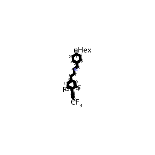 CCCCCCC1CCC(/C=C/CCc2cc(F)c(C#CC(F)(F)F)c(F)c2)CC1